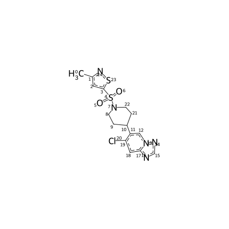 Cc1cc(S(=O)(=O)N2CCC(c3cn4ncnc4cc3Cl)CC2)sn1